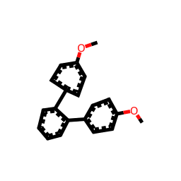 COc1ccc(-c2ccccc2-c2ccc(OC)cc2)cc1